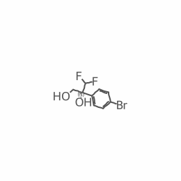 OC[C@](O)(c1ccc(Br)cc1)C(F)F